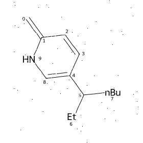 C=C1C=CC(C(CC)CCCC)=CN1